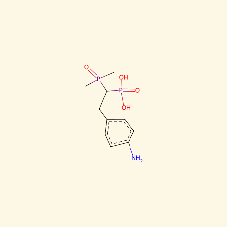 CP(C)(=O)C(Cc1ccc(N)cc1)P(=O)(O)O